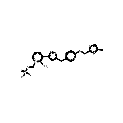 Cc1csc(COc2ccc(Cc3cc(-c4ccc[n+](COP(=O)([O-])O)c4N)on3)cn2)n1